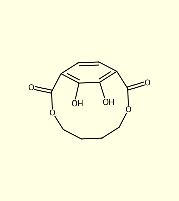 O=C1OCCCCOC(=O)c2ccc1c(O)c2O